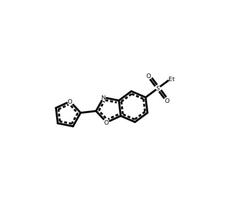 CCS(=O)(=O)c1ccc2oc(-c3ccco3)nc2c1